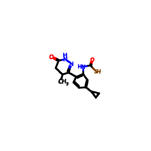 CC1CC(=O)NN=C1c1ccc(C2CC2)cc1NC(=O)S